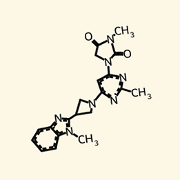 Cc1nc(N2CC(c3nc4ccccc4n3C)C2)cc(N2CC(=O)N(C)C2=O)n1